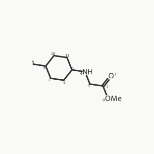 COC(=O)CNC1CCC(C)CC1